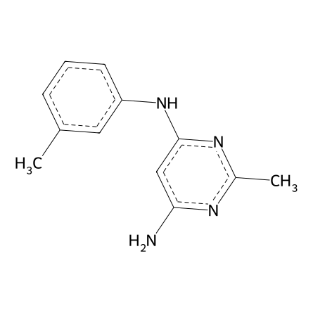 Cc1cccc(Nc2cc(N)nc(C)n2)c1